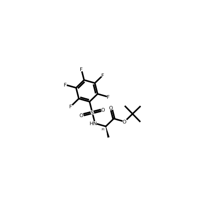 C[C@@H](NS(=O)(=O)c1c(F)c(F)c(F)c(F)c1F)C(=O)OC(C)(C)C